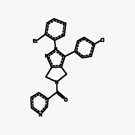 CCc1ccccc1-n1nc2c(c1-c1ccc(Cl)cc1)CN(C(=O)c1cccnc1)C2